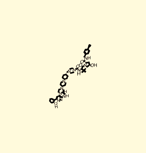 C#Cc1ccc(CNC(=O)[C@@H]2C[C@@H](O)CN2C(=O)[C@@H](NC(=O)N2CCN(C[C@H]3CC[C@H](N4CCC(N5CCN6c7cc(-c8ccccc8O)nnc7NC[C@H]6C5)CC4)CC3)CC2)C(C)(C)C)cc1